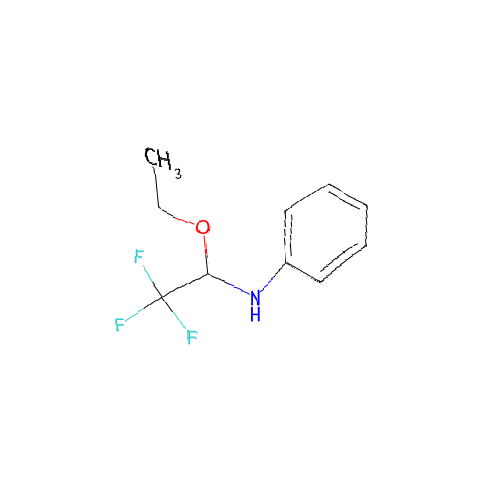 CCOC(Nc1ccccc1)C(F)(F)F